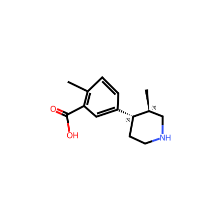 Cc1ccc([C@H]2CCNC[C@@H]2C)cc1C(=O)O